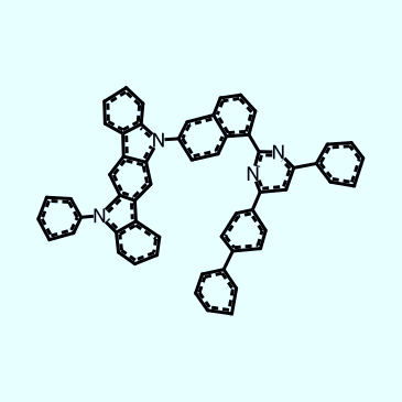 c1ccc(-c2ccc(-c3cc(-c4ccccc4)nc(-c4cccc5cc(-n6c7ccccc7c7cc8c(cc76)c6ccccc6n8-c6ccccc6)ccc45)n3)cc2)cc1